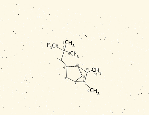 CC1C2CC(CC(C)(C(F)(F)F)C(F)(F)F)C(C2)C1C